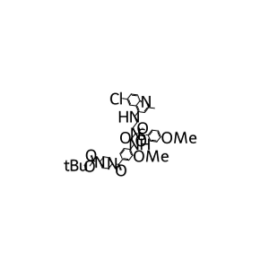 COc1ccc(S(=O)(=O)N(CCNc2cc(C)nc3ccc(Cl)cc23)C(=O)Nc2ccc(C(=O)N3CCN(C(=O)OC(C)(C)C)CC3)cc2OC)cc1